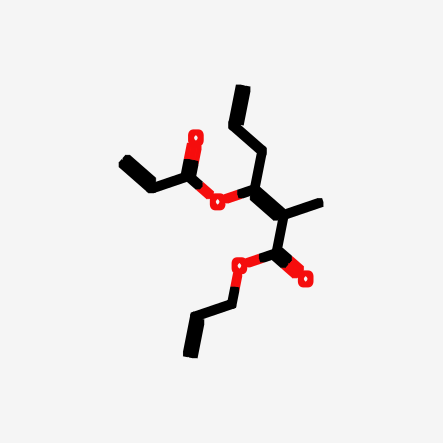 C=CCOC(=O)C(C)=C(CC=C)OC(=O)C=C